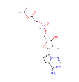 CC(C)OC(=O)CO[P@@](C)(=O)OC[C@H]1O[C@@H](c2ccc3c(N)ncnn23)[C@@H](C)[C@@H]1O